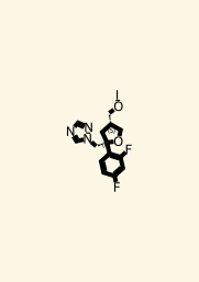 Fc1ccc([C@@]2(Cn3cncn3)C[C@H](COI)CO2)c(F)c1